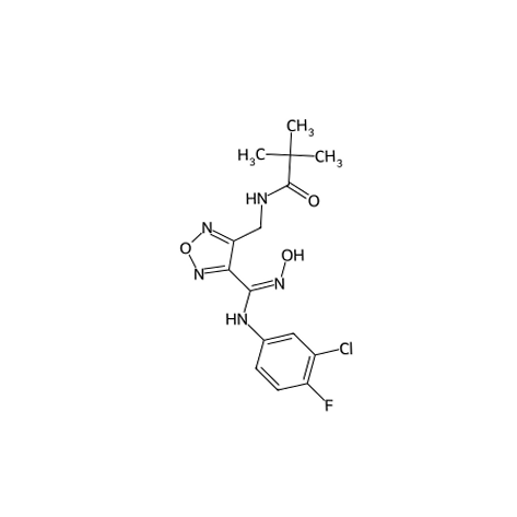 CC(C)(C)C(=O)NCc1nonc1C(=NO)Nc1ccc(F)c(Cl)c1